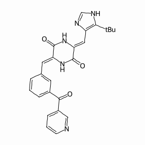 CC(C)(C)c1[nH]cnc1/C=c1\[nH]c(=O)/c(=C/c2cccc(C(=O)c3cccnc3)c2)[nH]c1=O